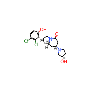 O=C1C[C@H](N2CC[C@@H](O)C2)C[C@@H]2C[C@H](c3c(O)ccc(Cl)c3Cl)CN12